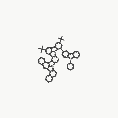 CC(C)(C)c1cc(-c2ccc3c(c2)c2ccccc2n3-c2ccccc2)c2c(c1)c1cc(C(C)(C)C)cc3c4c5c6c7ccccc7cc7c8c9ccccc9ccc8n(c5cnc4n2c13)c76